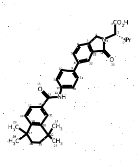 CC(C)[C@@H](C(=O)O)N1Cc2ccc(-c3ccc(NC(=O)c4ccc5c(c4)C(C)(C)CCC5(C)C)cc3)cc2C1=O